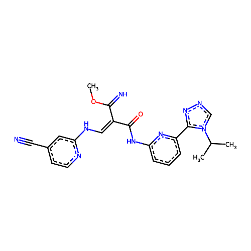 COC(=N)/C(=C\Nc1cc(C#N)ccn1)C(=O)Nc1cccc(-c2nncn2C(C)C)n1